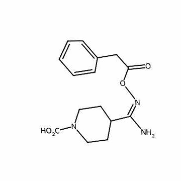 N/C(=N/OC(=O)Cc1ccccc1)C1CCN(C(=O)O)CC1